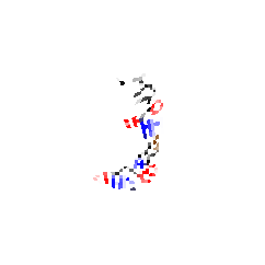 CCC(C)c1ccc(C(=O)C(=O)NCc2scc3c2CN(C(CCC=O)C(=O)NC)C3=O)cc1